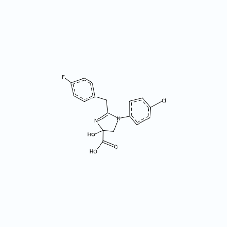 O=C(O)C1(O)CN(c2ccc(Cl)cc2)C(Cc2ccc(F)cc2)=N1